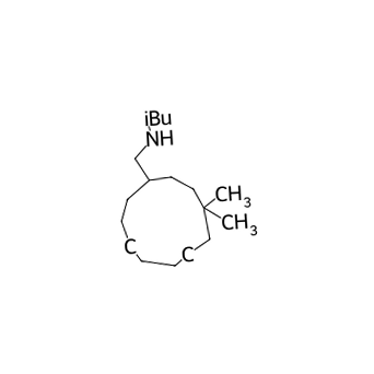 CCC(C)NCC1CCCCCCCC(C)(C)CC1